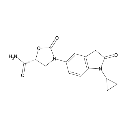 NC(=O)[C@H]1CN(c2ccc3c(c2)CC(=O)N3C2CC2)C(=O)O1